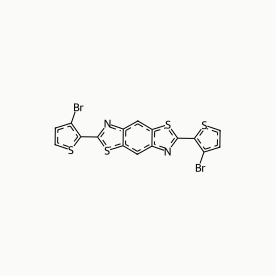 Brc1ccsc1-c1nc2cc3sc(-c4sccc4Br)nc3cc2s1